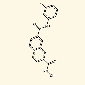 Cc1cccc(NC(=O)c2ccc3ccc(C(=O)NO)cc3c2)c1